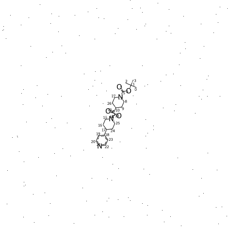 CC(C)(C)OC(=O)N1CCC(S(=O)(=O)N2CCC(c3ccncc3)CC2)CC1